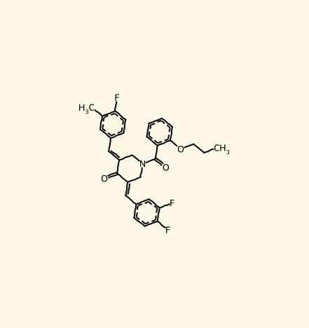 CCCOc1ccccc1C(=O)N1C/C(=C\c2ccc(F)c(C)c2)C(=O)/C(=C/c2ccc(F)c(F)c2)C1